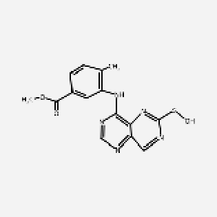 COC(=O)c1ccc(C)c(Nc2ncnc3cnc(SO)nc23)c1